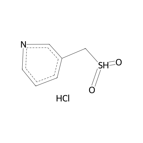 Cl.O=[SH](=O)Cc1cccnc1